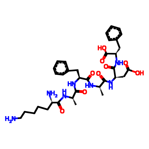 C[C@H](NC(=O)[C@H](Cc1ccccc1)NC(=O)[C@H](C)NC(=O)[C@@H](N)CCCCCN)C(=O)N[C@@H](CC(=O)O)C(=O)N[C@@H](Cc1ccccc1)C(=O)O